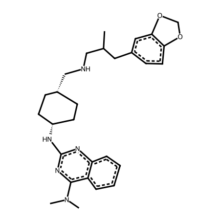 CC(CNC[C@H]1CC[C@@H](Nc2nc(N(C)C)c3ccccc3n2)CC1)Cc1ccc2c(c1)OCO2